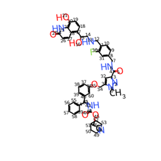 Cn1nc(C(=O)NCc2ccc(CNCC(O)c3ccc(O)c4[nH]c(=O)ccc34)c(F)c2)cc1COc1cccc([C@@H](NC(=O)OC2CN3CCC2CC3)c2ccccc2)c1